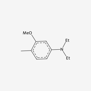 CCN(CC)c1ccc(C)c(OC)c1